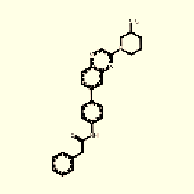 CC1CCCN(c2cnc3ccc(-c4ccc(NC(=O)Cc5ccccc5)cc4)cc3n2)C1